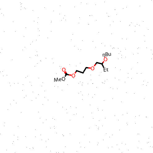 CCCCOC(CC)COCCCOC(=O)OC